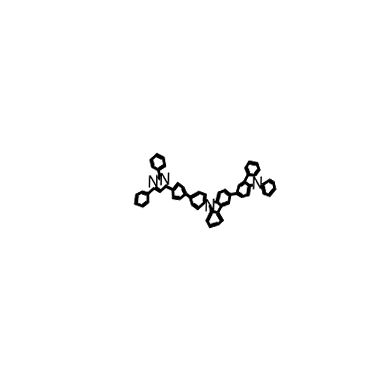 c1ccc(-c2cc(-c3ccc(-c4ccc(-n5c6ccccc6c6cc(-c7ccc8c(c7)c7ccccc7n8-c7ccccc7)ccc65)cc4)cc3)nc(-c3ccccc3)n2)cc1